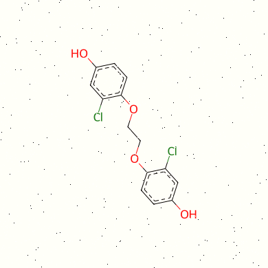 Oc1ccc(OCCOc2ccc(O)cc2Cl)c(Cl)c1